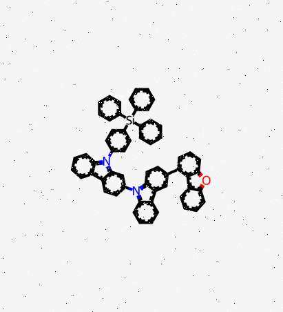 c1ccc([Si](c2ccccc2)(c2ccccc2)c2ccc(-n3c4ccccc4c4ccc(-n5c6ccccc6c6cc(-c7cccc8oc9ccccc9c78)ccc65)cc43)cc2)cc1